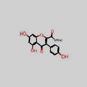 CNC(=O)c1oc2cc(O)cc(O)c2c(=O)c1-c1ccc(O)cc1